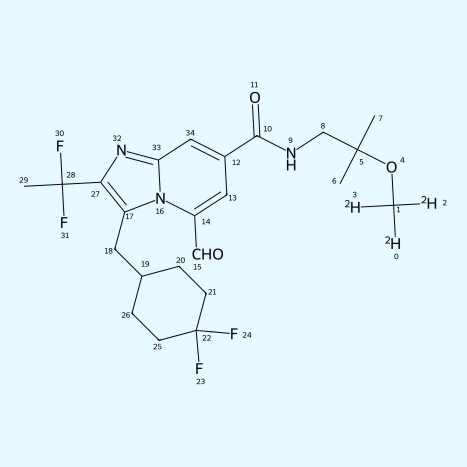 [2H]C([2H])([2H])OC(C)(C)CNC(=O)c1cc(C=O)n2c(CC3CCC(F)(F)CC3)c(C(C)(F)F)nc2c1